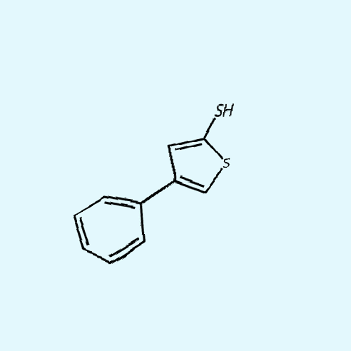 Sc1cc(-c2ccccc2)cs1